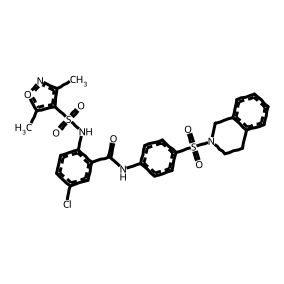 Cc1noc(C)c1S(=O)(=O)Nc1ccc(Cl)cc1C(=O)Nc1ccc(S(=O)(=O)N2CCc3ccccc3C2)cc1